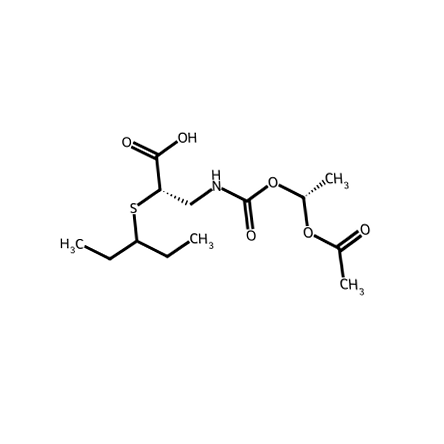 CCC(CC)S[C@@H](CNC(=O)O[C@H](C)OC(C)=O)C(=O)O